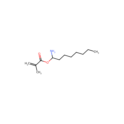 C=C(C)C(=O)OC(N)CCCCCCC